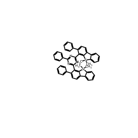 C[Si]1(C)c2ccccc2-c2ccc(-c3ccccc3)c(-c3nc(-c4ccccc4)nc(-c4c(-c5ccccc5)ccc5c4[Si](C)(C)c4ccccc4-5)n3)c21